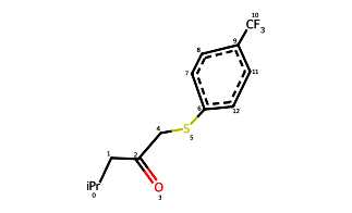 CC(C)CC(=O)CSc1ccc(C(F)(F)F)cc1